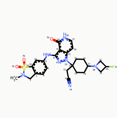 CN1Cc2ccc(Nc3nn(C4(CC#N)CCC(N5CC(F)C5)CC4)c4cc[nH]c(=O)c34)cc2S1(=O)=O